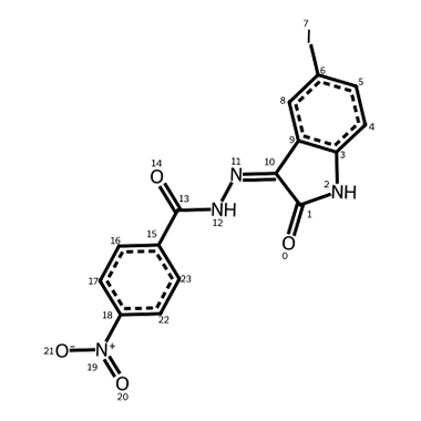 O=C1Nc2ccc(I)cc2/C1=N/NC(=O)c1ccc([N+](=O)[O-])cc1